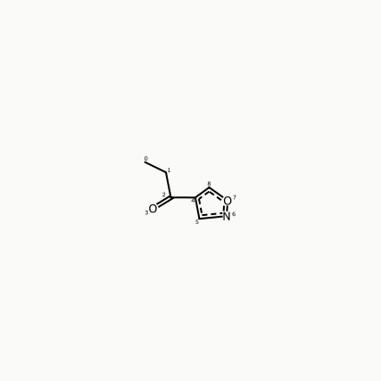 CCC(=O)c1cnoc1